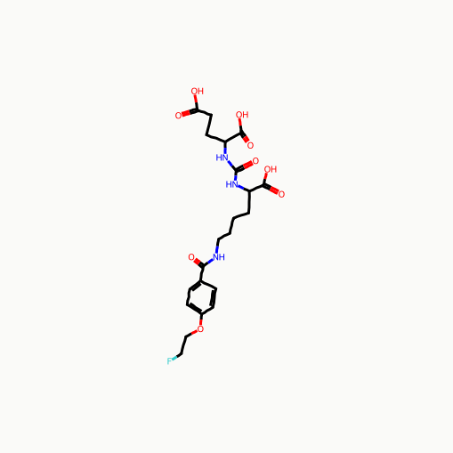 O=C(O)CCC(NC(=O)NC(CCCCNC(=O)c1ccc(OCCF)cc1)C(=O)O)C(=O)O